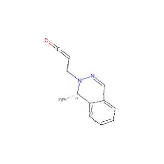 CCC[C@H]1c2ccccc2C=NN1CC=C=O